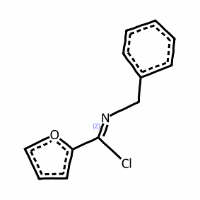 Cl/C(=N\Cc1ccccc1)c1ccco1